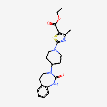 CCOC(=O)c1sc(N2CCC(N3CCc4ccccc4NC3=O)CC2)nc1C